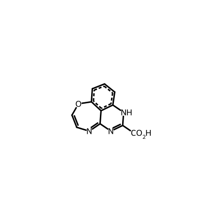 O=C(O)C1=NC2=NC=COc3cccc(c32)N1